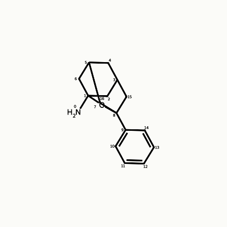 NC12CC3CC(C1)CC(c1ccccc1)(C3)O2